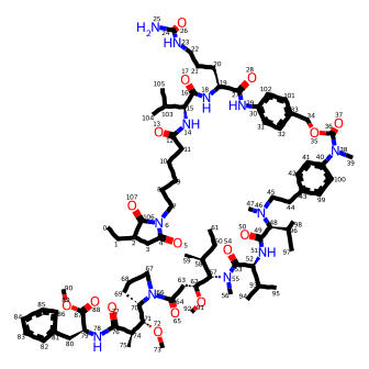 CCC1CC(=O)N(CCCCCC(=O)N[C@H](C(=O)N[C@@H](CCCNC(N)=O)C(=O)Nc2ccc(COC(=O)N(C)c3ccc(CCN(C)[C@H](C(=O)N[C@H](C(=O)N(C)[C@@H]([C@@H](C)CC)[C@@H](CC(=O)N4CCC[C@H]4[C@H](OC)[C@@H](C)C(=O)N[C@@H](Cc4ccccc4)C(=O)OC)OC)C(C)C)C(C)C)cc3)cc2)C(C)C)C1=O